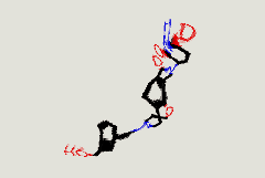 O=C1CCC(N2Cc3c(ccc4c3OCC43CCN(Cc4cccc(CO)c4)CC3)C2=O)C(=O)N1